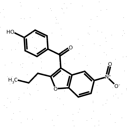 CCCc1oc2ccc([N+](=O)[O-])cc2c1C(=O)c1ccc(O)cc1